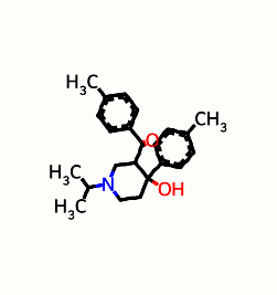 Cc1ccc(C(=O)C2CN(C(C)C)CCC2(O)c2ccc(C)cc2)cc1